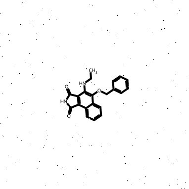 CCNc1c2c(c3ccccc3c1OCc1ccccc1)C(=O)NC2=O